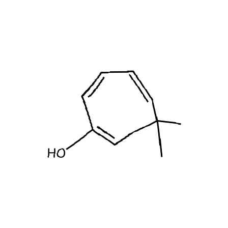 CC1(C)C=CC=CC(O)=C1